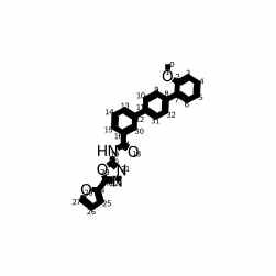 COc1ccccc1-c1ccc(-c2cccc(C(=O)Nc3nnc(-c4ccco4)o3)c2)cc1